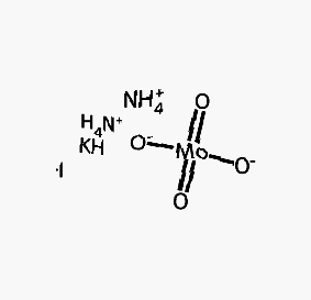 [I].[KH].[NH4+].[NH4+].[O]=[Mo](=[O])([O-])[O-]